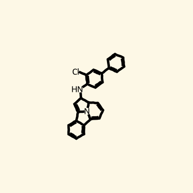 Clc1cc(-c2ccccc2)ccc1NC1C=c2c3ccccc3c3n2C1C=CC=3